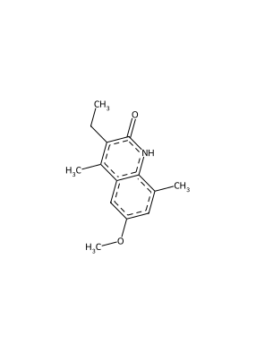 CCc1c(C)c2cc(OC)cc(C)c2[nH]c1=O